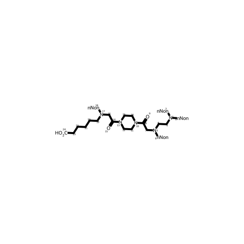 CCCCCCCCCN(CCCCCCCCC)CCN(CCCCCCCCC)CC(=O)N1CCN(C(=O)CN(CCCCCCCCC)CCCCCC(=O)O)CC1